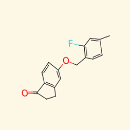 Cc1ccc(COc2ccc3c(c2)CCC3=O)c(F)c1